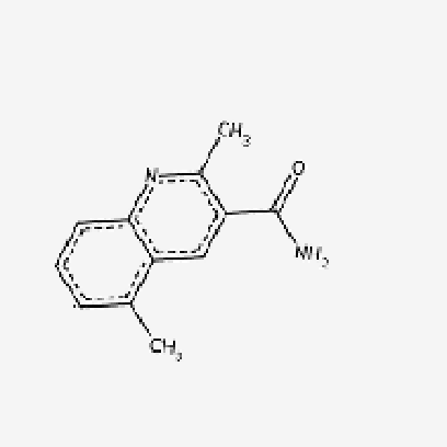 Cc1nc2cc[c]c(C)c2cc1C(N)=O